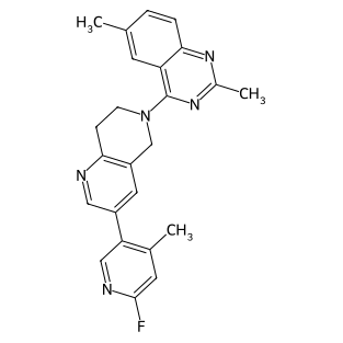 Cc1ccc2nc(C)nc(N3CCc4ncc(-c5cnc(F)cc5C)cc4C3)c2c1